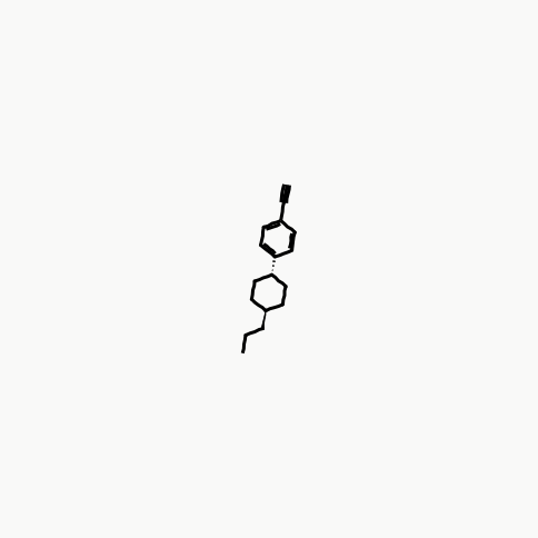 C#Cc1ccc([C@H]2CC[C@H](CCC)CC2)cc1